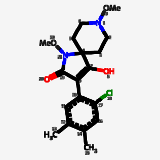 CON1CCC2(CC1)C(O)=C(c1cc(C)c(C)cc1Cl)C(=O)N2OC